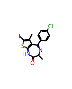 Cc1c(I)sc2c1C(c1ccc(Cl)cc1)=NC(C)C(=O)N2